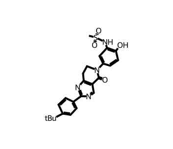 CC(C)(C)c1ccc(-c2ncc3c(n2)CCN(c2ccc(O)c(NS(C)(=O)=O)c2)C3=O)cc1